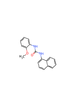 COc1ccccc1NC(=O)Nc1cccc2ccccc12